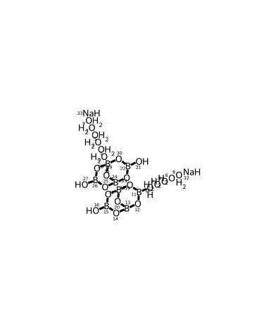 O.O.O.O.O.O.O.O.O.O.OB1OB2OB(O)OB(O1)O2.OB1OB2OB(O)OB(O1)O2.[NaH].[NaH]